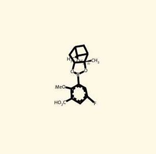 COc1c(B2OC3CC4CC(C4(C)C)[C@]3(C)O2)cc(F)cc1C(=O)O